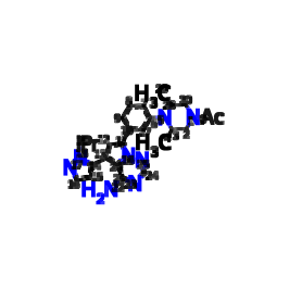 CC(=O)N1CC(C)N(c2cccc(-c3cc(-c4ccnn4C(C)C)c4c(N)ncnn34)c2)C(C)C1